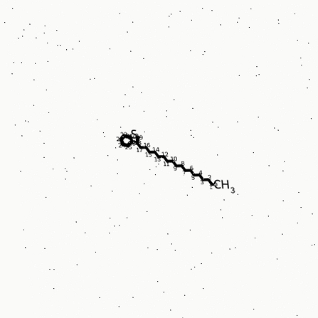 CCCCCCCCCCCCCCCCCCc1csc2ccccc12